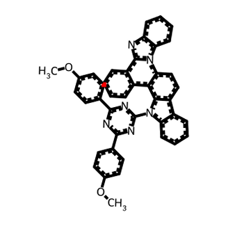 COc1ccc(-c2nc(-c3ccc(OC)cc3)nc(-n3c4ccccc4c4ccc5c(c6ccccc6c6nc7ccccc7n56)c43)n2)cc1